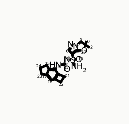 CC1(C)Cn2ncc(S(N)(=O)=NC(=O)Nc3c4c(cc5c3CC5)CCC4)c2O1